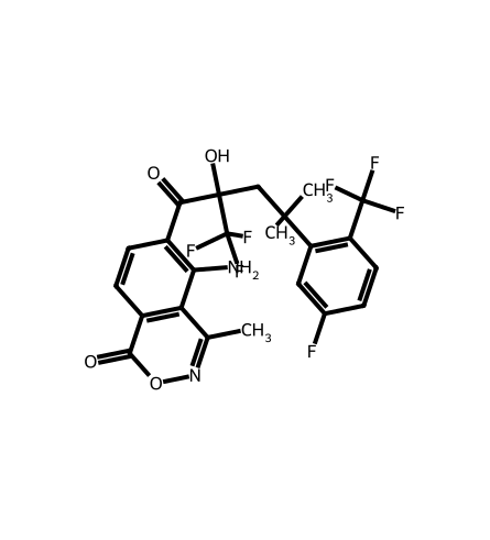 Cc1noc(=O)c2ccc(C(=O)C(O)(CC(C)(C)c3cc(F)ccc3C(F)(F)F)C(F)(F)F)c(N)c12